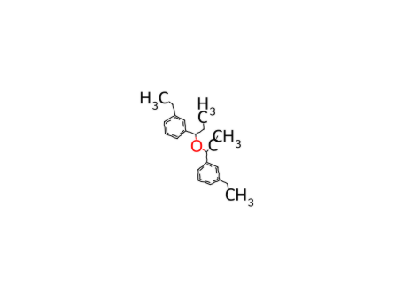 CCc1cccc(C(CC)OC(CC)c2cccc(CC)c2)c1